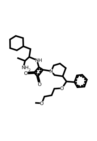 COCCCOC(c1ccccc1)C1CCCN(c2c(NC(CC3CCCCC3)C(C)N)c(=O)c2=O)C1